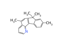 Cc1ccc2c(c1)C(C)(C)c1cc(C)c3cccnc3c1-2